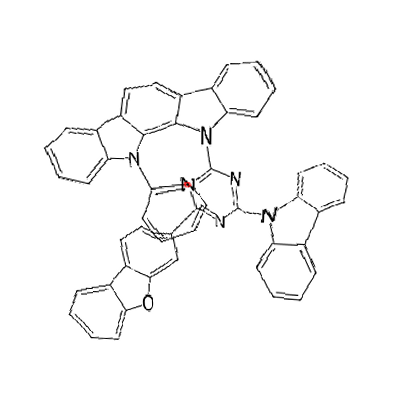 c1ccc(-n2c3ccccc3c3ccc4c5ccccc5n(-c5nc(-c6ccc7c(c6)oc6ccccc67)nc(-n6c7ccccc7c7ccccc76)n5)c4c32)cc1